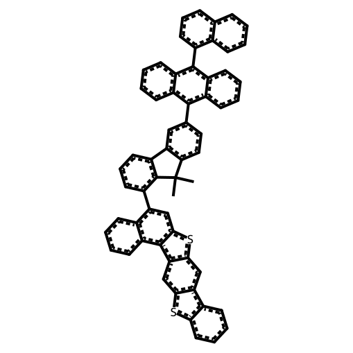 CC1(C)c2ccc(-c3c4ccccc4c(-c4cccc5ccccc45)c4ccccc34)cc2-c2cccc(-c3cc4sc5cc6c(cc5c4c4ccccc34)sc3ccccc36)c21